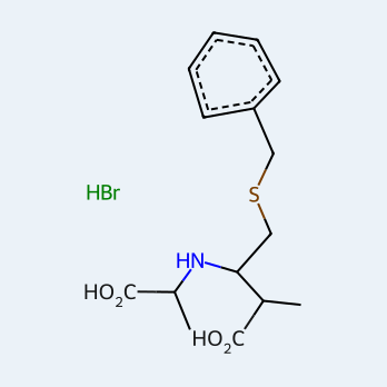 Br.CC(NC(CSCc1ccccc1)C(C)C(=O)O)C(=O)O